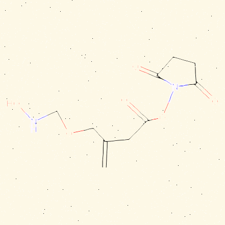 C=C(COCNO)CC(=O)ON1C(=O)CCC1=O